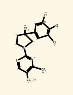 CCOC(=O)c1cnc(N2CCC(c3cc(Cl)c(Cl)c(Cl)c3)(C(F)(F)F)C2)nc1C(F)(F)F